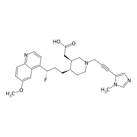 COc1ccc2nccc([C@@H](F)CC[C@@H]3CCN(CC#Cc4cncn4C)C[C@@H]3CC(=O)O)c2c1